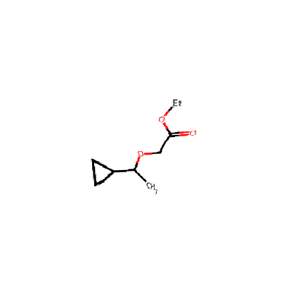 CCOC(=O)COC(C)C1CC1